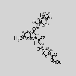 CCCCOC(=O)N1CCN(C(=O)CNC(=O)c2cc(OCC(=O)N3CCN4CCC[C@@H]4C3)c3ccc(C)cc3n2)CC1